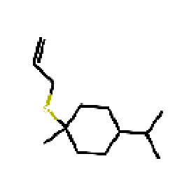 C=CCSC1(C)CCC(C(C)C)CC1